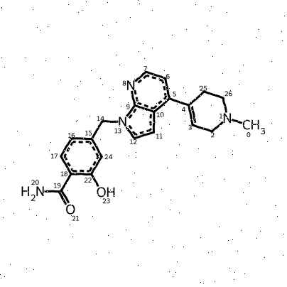 CN1CC=C(c2ccnc3c2ccn3Cc2ccc(C(N)=O)c(O)c2)CC1